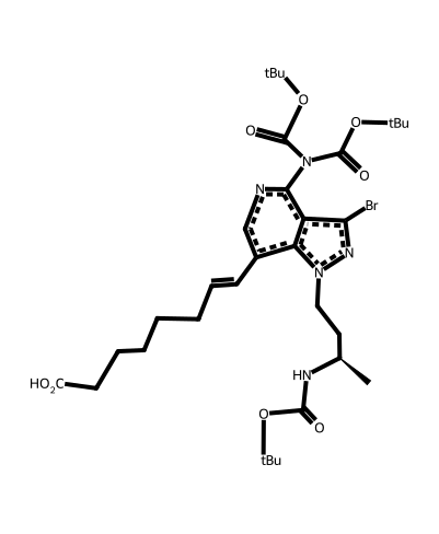 C[C@H](CCn1nc(Br)c2c(N(C(=O)OC(C)(C)C)C(=O)OC(C)(C)C)ncc(/C=C/CCCCCC(=O)O)c21)NC(=O)OC(C)(C)C